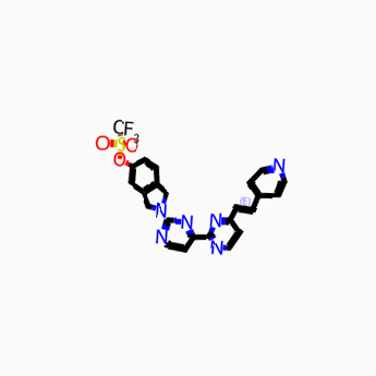 O=S(=O)(Oc1ccc2c(c1)CN(c1nccc(-c3nccc(/C=C/c4ccncc4)n3)n1)C2)C(F)(F)F